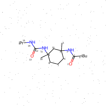 CCC(C)C(=O)NC1(C)CCCC(C)(NC(=O)NC(C)C)C1